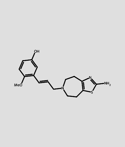 COc1ccc(O)cc1C=CCN1CCc2nc(N)sc2CC1